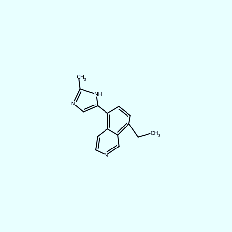 CCc1ccc(-c2cnc(C)[nH]2)c2ccncc12